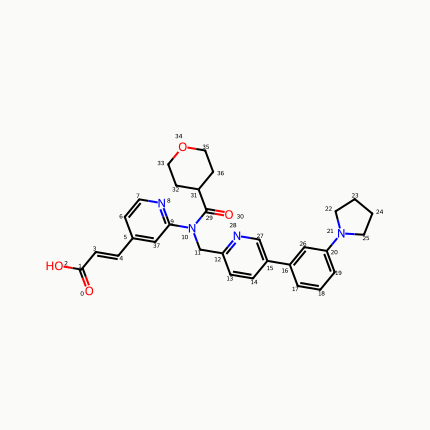 O=C(O)C=Cc1ccnc(N(Cc2ccc(-c3cccc(N4CCCC4)c3)cn2)C(=O)C2CCOCC2)c1